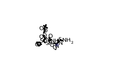 CO/N=C(\C(=O)NC1C(=O)N2C(C(=O)OCOC(=O)C(C)(C)C)=C(SC3CCOC3)CS[C@@H]12)c1csc(N)n1